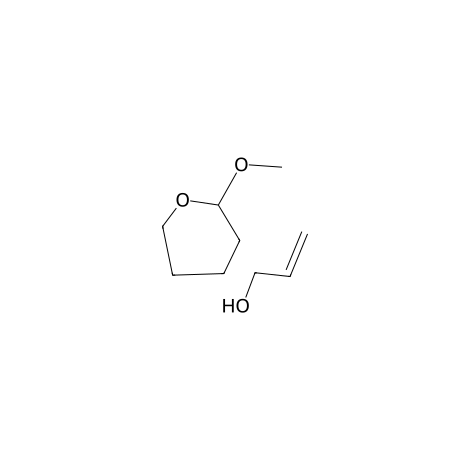 C=CCO.COC1CCCCO1